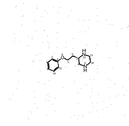 c1ccc(OCC[C@@H]2CNCCN2)cc1